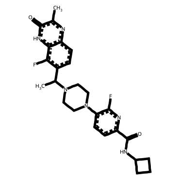 Cc1nc2ccc(C(C)N3CCN(c4ccc(C(=O)NC5CCC5)nc4F)CC3)c(F)c2[nH]c1=O